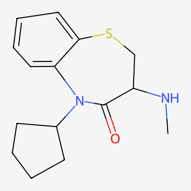 CNC1CSc2ccccc2N(C2CCCC2)C1=O